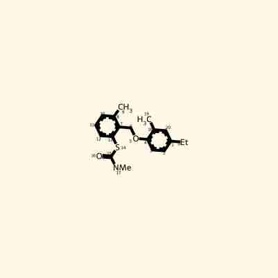 CCc1ccc(OCc2c(C)cccc2SC(=O)NC)c(C)c1